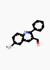 Cc1ccc2nc(-c3ccccc3)c(C=O)cc2c1